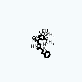 COc1cc(C(=NO)c2cc(-c3cc4ccccc4[nH]3)c[nH]2)cc(OC)c1OC